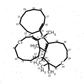 CC1=C([Si](C)(C2=CCCCCCCCC2)C2=CCCCCCCCC2)CCCCCCC(C)(C)C1(C)C